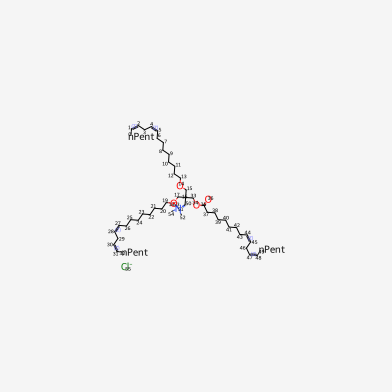 CCCCC/C=C\C/C=C\CCCCCCCCOCC(COCCCCCCCC/C=C\C/C=C\CCCCC)(COC(=O)CCCCCCC/C=C\C/C=C\CCCCC)C[N+](C)(C)C.[Cl-]